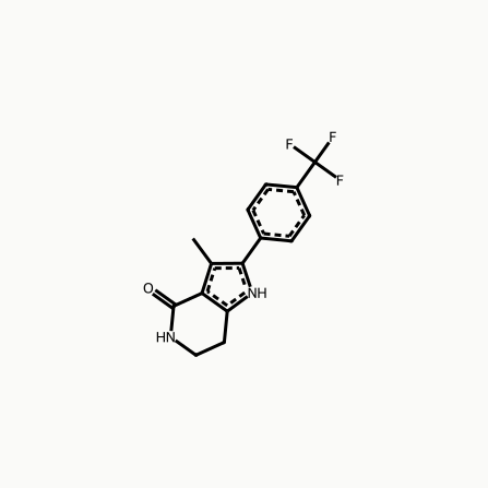 Cc1c(-c2ccc(C(F)(F)F)cc2)[nH]c2c1C(=O)NCC2